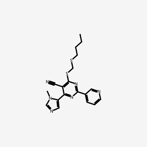 CCCCSCSc1nc(-c2cccnc2)nc(-c2cncn2C)c1C#N